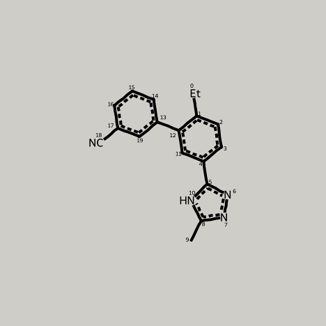 CCc1ccc(-c2nnc(C)[nH]2)cc1-c1cccc(C#N)c1